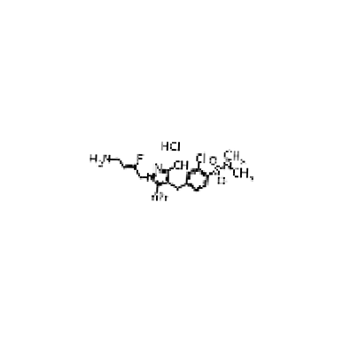 CCCc1c(Cc2ccc(S(=O)(=O)N(C)C)c(Cl)c2)c(C)nn1C/C(F)=C/CN.Cl